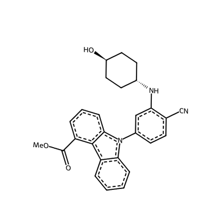 COC(=O)c1cccc2c1c1ccccc1n2-c1ccc(C#N)c(N[C@H]2CC[C@H](O)CC2)c1